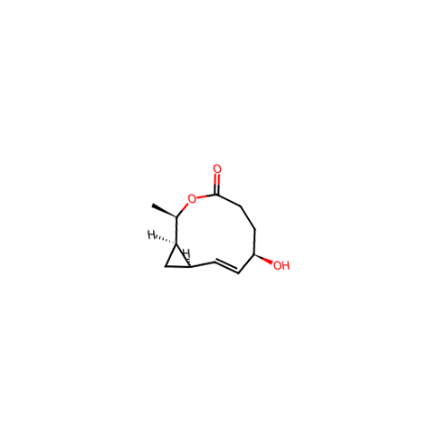 C[C@H]1OC(=O)CC[C@@H](O)/C=C/[C@H]2C[C@H]21